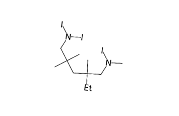 CCC(C)(CN(C)I)CC(C)(C)CN(I)I